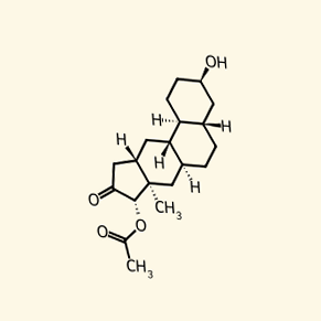 CC(=O)O[C@@H]1C(=O)C[C@@H]2C[C@H]3[C@@H](CC[C@H]4C[C@H](O)CC[C@@H]43)C[C@]21C